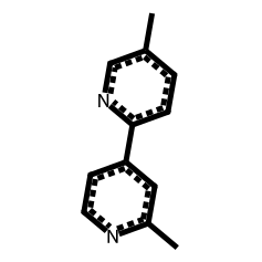 Cc1ccc(-c2ccnc(C)c2)nc1